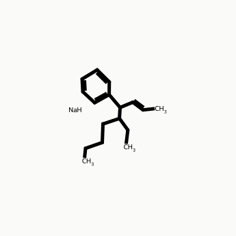 CC=CC(c1ccccc1)C(CC)CCCC.[NaH]